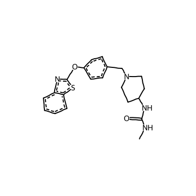 CNC(=O)NC1CCN(Cc2ccc(Oc3nc4ccccc4s3)cc2)CC1